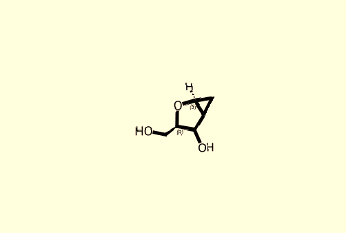 OC[C@H]1O[C@H]2CC2C1O